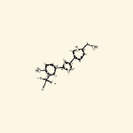 OCc1ccc(-c2noc(-c3ccc(O)c(C(F)(F)F)c3)n2)cc1